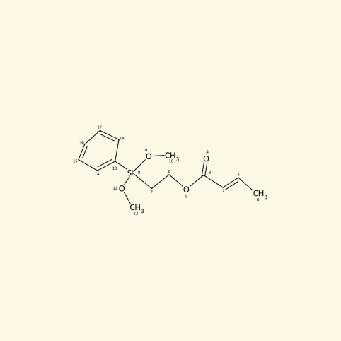 CC=CC(=O)OCC[Si](OC)(OC)c1ccccc1